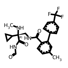 CN[C@](CNC(=O)c1ccc(C)cc1-c1ccc(C(F)(F)F)cc1)(C(=O)NC=O)C1CC1